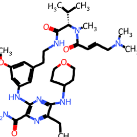 CCc1nc(C(N)=O)c(Nc2cc(CCNC(=O)[C@H](C(C)C)N(C)C(=O)/C=C/CN(C)C)cc(OC)c2)nc1NC1CCOCC1